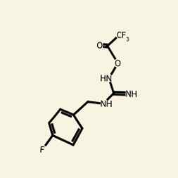 N=C(NCc1ccc(F)cc1)NOC(=O)C(F)(F)F